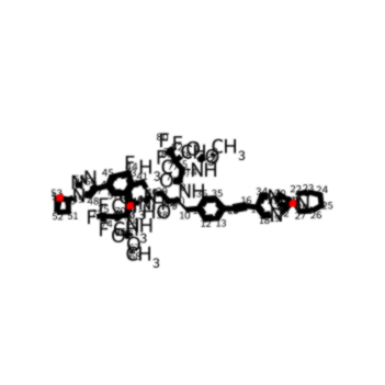 COC(=O)N[C@H](C(=O)N[C@@H](Cc1ccc(C#Cc2cnc(N3CC4CCC(C3)N4C3COC3)nc2)cc1)[C@@H](O)CN(Cc1c(F)cc(-c2cn(C34CC(C3)C4)nn2)cc1F)NC(=O)[C@@H](NC(=O)OC)C(C)(C)C(F)(F)F)C(C)(C)C(F)(F)F